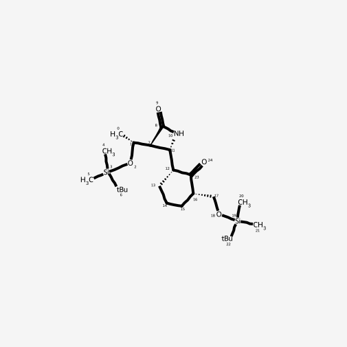 C[C@@H](O[Si](C)(C)C(C)(C)C)[C@H]1C(=O)N[C@@H]1[C@H]1CCC[C@@H](CO[Si](C)(C)C(C)(C)C)C1=O